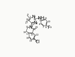 Cc1nc(Nc2ccc(F)cc2)nc(N2CCc3ccc(Cl)cc3C2C)c1C